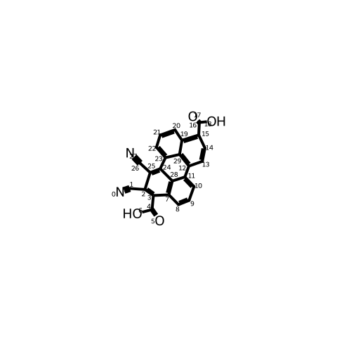 N#Cc1c(C(=O)O)c2cccc3c4ccc(C(=O)O)c5cccc(c(c1C#N)c23)c54